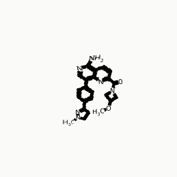 COC1CN(C(=O)c2ccc3c(N)ncc(-c4ccc(-c5ccn(C)n5)cc4)c3n2)C1